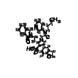 CCCCN(C(=O)CN1C[C@H](c2ccc3c(c2)CCO3)[C@@H](C(=O)O)[C@@H]1CCN1Cc2ccccc2C1=O)c1cccnc1